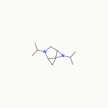 CC(C)N1CC2N(C(C)C)C23CC13